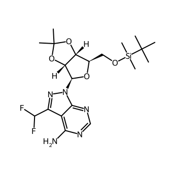 CC1(C)O[C@@H]2[C@H](O1)[C@@H](CO[Si](C)(C)C(C)(C)C)O[C@H]2n1nc(C(F)F)c2c(N)ncnc21